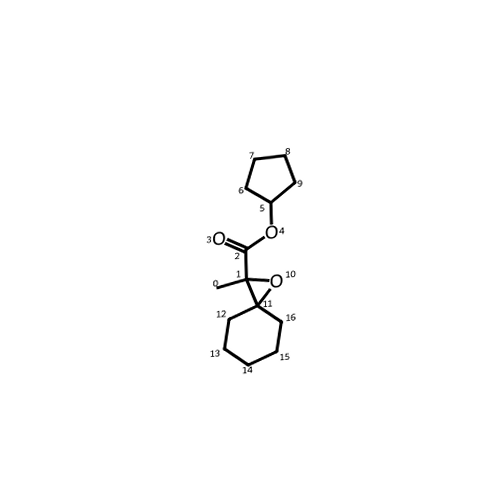 CC1(C(=O)OC2CCCC2)OC12CCCCC2